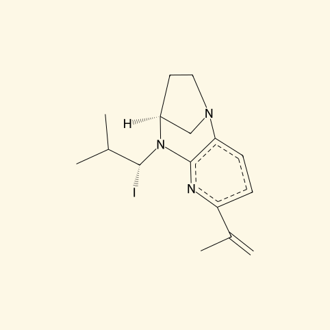 C=C(C)c1ccc2c(n1)N([C@H](I)C(C)C)[C@H]1CCN2C1